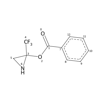 O=C(OC1(C(F)(F)F)CN1)c1ccccc1